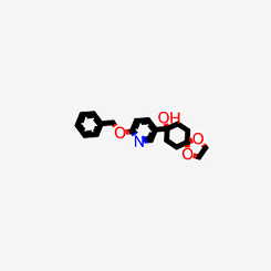 OC1(c2ccc(OCc3ccccc3)nc2)CCC2(CC1)OCCO2